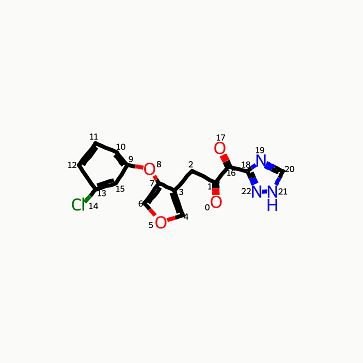 O=C(Cc1cocc1Oc1cccc(Cl)c1)C(=O)c1nc[nH]n1